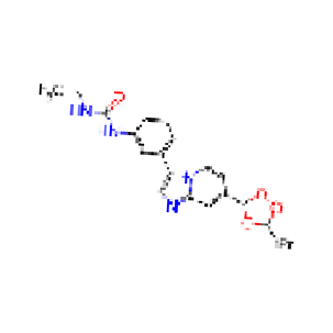 CC(C)C1OOC(c2ccn3c(-c4cccc(NC(=O)NCC(F)(F)F)c4)cnc3c2)O1